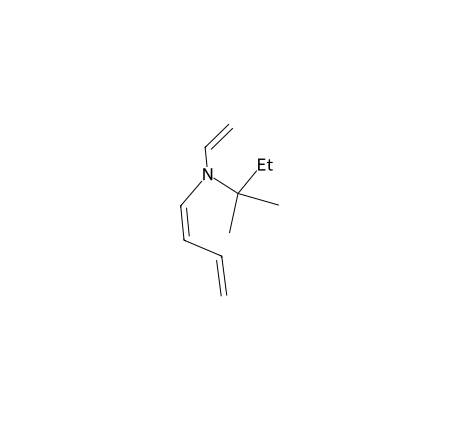 C=C/C=C\N(C=C)C(C)(C)CC